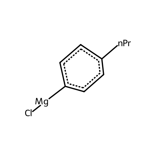 CCCc1cc[c]([Mg][Cl])cc1